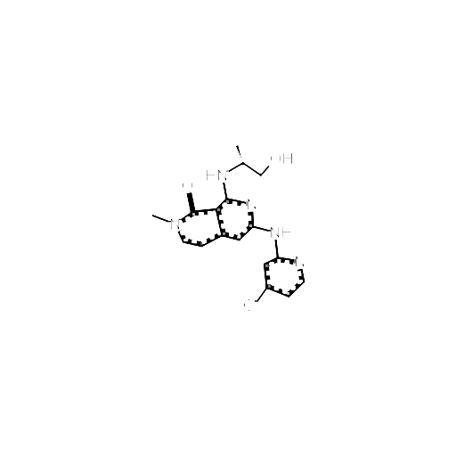 C[C@@H](CO)Nc1nc(Nc2cc(Cl)ccn2)cc2ccn(C)c(=O)c12